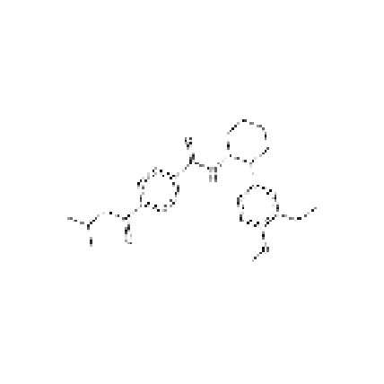 COc1ccc([C@H]2CCCC[C@H]2NC(=O)c2ccc(C(=O)CC(C)C)cc2)cc1OC